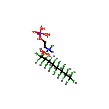 C[N+](F)(CCOP(=O)(O)O)S(=O)(=O)C(F)(F)C(F)(F)C(F)(F)C(F)(F)C(F)(F)C(F)(F)C(F)(F)C(F)(F)F